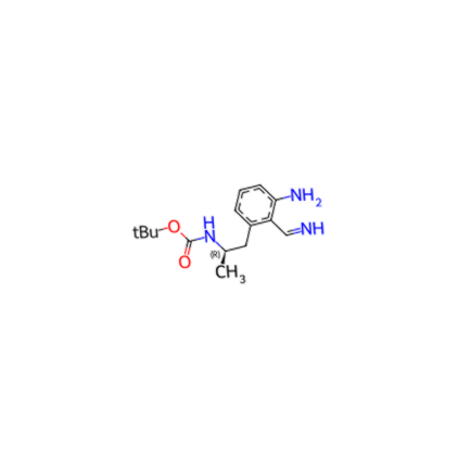 C[C@H](Cc1cccc(N)c1C=N)NC(=O)OC(C)(C)C